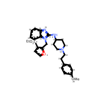 CCOC(=O)c1ccoc1Cn1c(NC2CCN(CCc3ccc(OC)cc3)CC2)nc2ccccc21